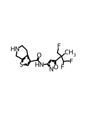 CC(CF)(c1cc(NC(=O)c2csc3c2CCNC3)no1)C(F)F